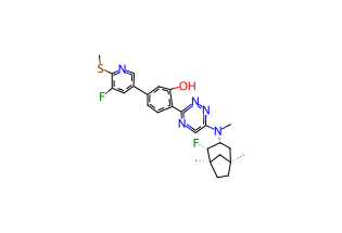 CSc1ncc(-c2ccc(-c3ncc(N(C)[C@@H]4C[C@@]5(C)CC[C@](C)(C5)[C@@H]4F)nn3)c(O)c2)cc1F